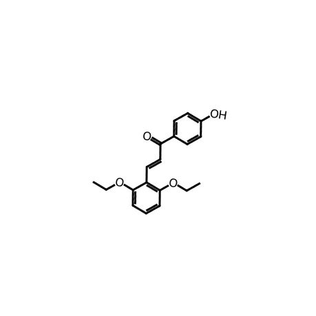 CCOc1cccc(OCC)c1/C=C/C(=O)c1ccc(O)cc1